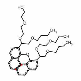 CCCCOCC(OCCOCCO)c1ccc2ccccc2c1Oc1c(C(COCCCC)OCCOCCO)ccc2ccccc12